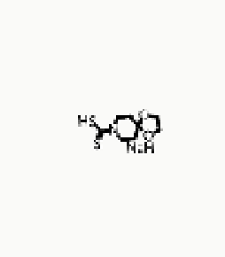 S=C(S)N1CCC2(CC1)OCCO2.[NaH]